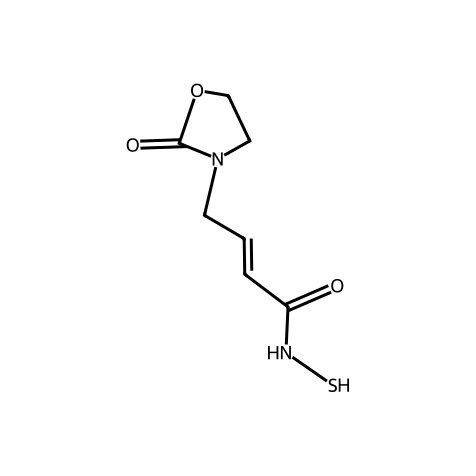 O=C(/C=C/CN1CCOC1=O)NS